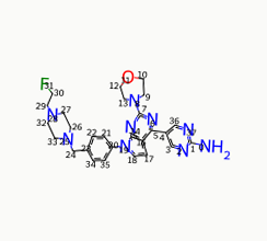 Nc1ncc(-c2nc(N3CCOCC3)nc3c2ccn3-c2ccc(CN3CCN(CCF)CC3)cc2)cn1